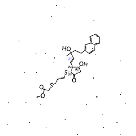 COC(=O)CSCCCS[C@H]1C(=O)C[C@@H](O)[C@@H]1/C=C/C(C)(O)CCc1ccc2ccccc2c1